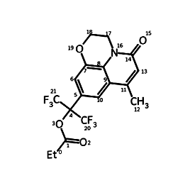 CCC(=O)OC(c1cc2c3c(c1)c(C)cc(=O)n3CCO2)(C(F)(F)F)C(F)(F)F